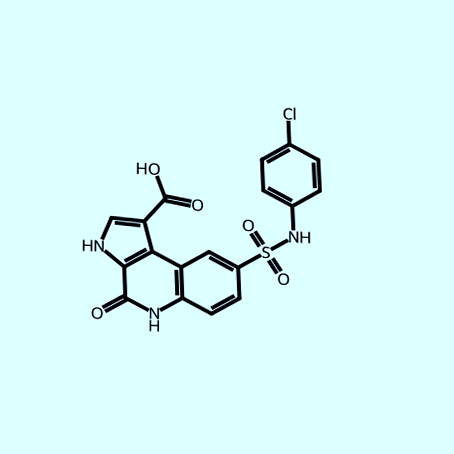 O=C(O)c1c[nH]c2c(=O)[nH]c3ccc(S(=O)(=O)Nc4ccc(Cl)cc4)cc3c12